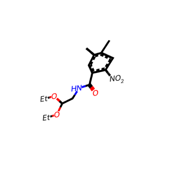 CCOC(CNC(=O)c1cc(C)c(C)cc1[N+](=O)[O-])OCC